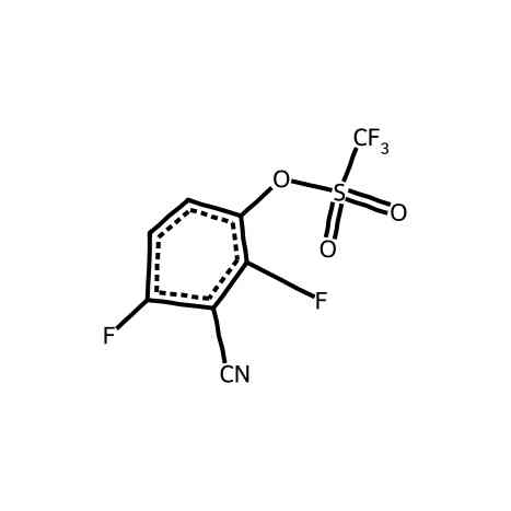 N#Cc1c(F)ccc(OS(=O)(=O)C(F)(F)F)c1F